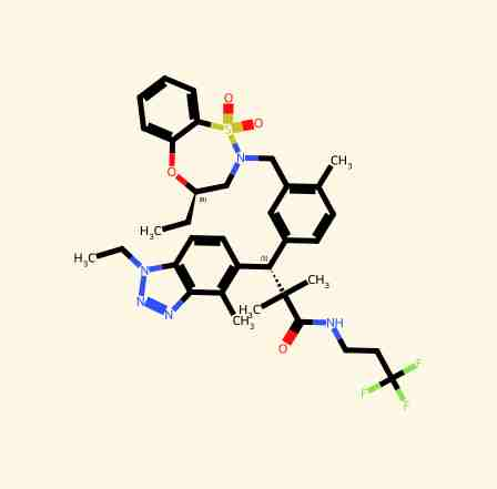 CC[C@@H]1CN(Cc2cc([C@@H](c3ccc4c(nnn4CC)c3C)C(C)(C)C(=O)NCCC(F)(F)F)ccc2C)S(=O)(=O)c2ccccc2O1